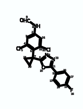 O=CNc1cc(Cl)c(C2(c3nnc(-c4ccc(F)cc4)o3)CC2)c(Cl)c1